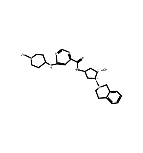 CC(=O)N1CCC(Nc2cc(C(=O)NC3C[C@H](O)[C@@H](N4CCc5ccccc5C4)C3)ncn2)CC1